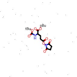 CCCCOC(=O)C(CCC(=O)ON1C(=O)CCC1=O)NC(=O)OC(C)(C)C